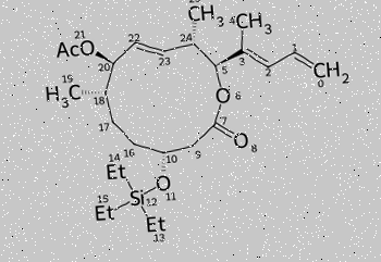 C=C/C=C(\C)[C@H]1OC(=O)C[C@H](O[Si](CC)(CC)CC)CC[C@H](C)[C@@H](OC(C)=O)/C=C/[C@@H]1C